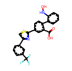 O=C(O)c1cc(-c2nc(-c3cccc(C(F)(F)F)c3)cs2)ccc1-c1ccccc1NO